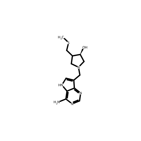 CSCC1CN(Cc2c[nH]c3c(N)ncnc23)C[C@@H]1O